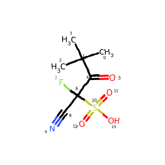 CC(C)(C)C(=O)C(F)(C#N)S(=O)(=O)O